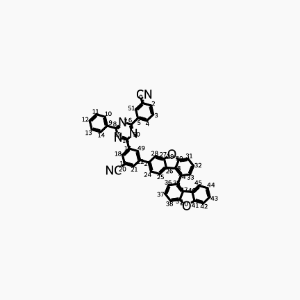 N#Cc1cccc(-c2nc(-c3ccccc3)nc(-c3cc(C#N)cc(-c4ccc5c(c4)oc4cccc(-c6cccc7oc8ccccc8c67)c45)c3)n2)c1